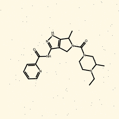 CCN1CCN(C(=O)N2Cc3c(NC(=O)c4ccccn4)n[nH]c3C2C)CC1C